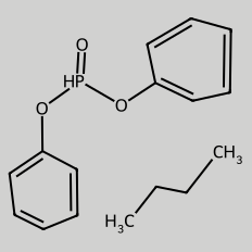 CCCC.O=[PH](Oc1ccccc1)Oc1ccccc1